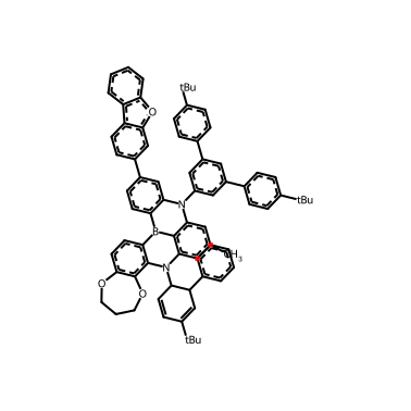 Cc1cc2c3c(c1)N(C1C=CC(C(C)(C)C)=CC1c1ccccc1)c1c(ccc4c1OCCCO4)B3c1ccc(-c3ccc4c(c3)oc3ccccc34)cc1N2c1cc(-c2ccc(C(C)(C)C)cc2)cc(-c2ccc(C(C)(C)C)cc2)c1